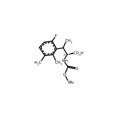 Cc1ccc(F)c(C(C)[C@H](NC(=O)OC(C)(C)C)C(=O)O)c1C